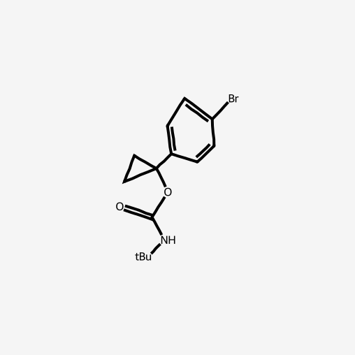 CC(C)(C)NC(=O)OC1(c2ccc(Br)cc2)CC1